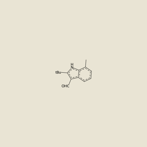 Cc1cccc2c(C=O)c(C(C)(C)C)[nH]c12